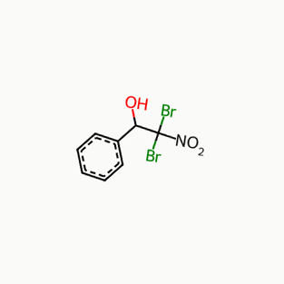 O=[N+]([O-])C(Br)(Br)C(O)c1ccccc1